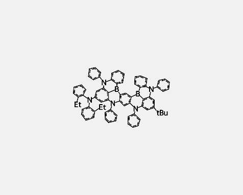 CCc1ccccc1N(c1cc2c3c(c1)N(c1ccccc1)c1cc4c(cc1B3c1ccccc1N2c1ccccc1)B1c2ccccc2N(c2ccccc2)c2cc(C(C)(C)C)cc(c21)N4c1ccccc1)c1ccccc1CC